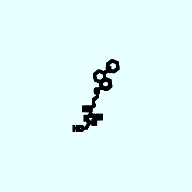 OCc1n[nH]c(NCCCOc2cccc3c2CCCC3N2CCCCC2)n1